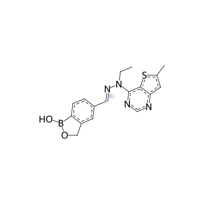 CCN(/N=C/c1ccc2c(c1)COB2O)c1ncnc2cc(C)sc12